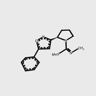 C/N=C(/SC)N1CCC[C@@H]1c1cc(-c2ccccc2)on1